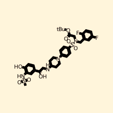 CC(C)(C)OC(=O)CN(Cc1cc(F)ccc1F)S(=O)(=O)c1ccc(N2CCC(NC[C@@H](O)c3ccc(O)c(NS(C)(=O)=O)c3)CC2)cc1